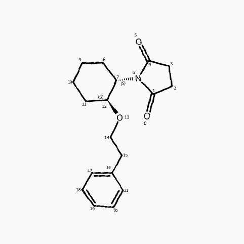 O=C1CCC(=O)N1[C@H]1CCCC[C@@H]1OCCc1ccccc1